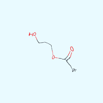 C[C](C)C(=O)OCCO